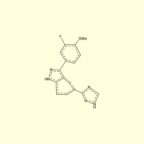 COc1ccc(-c2n[nH]c3ccc(-c4nc[nH]n4)cc23)cc1F